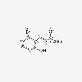 CC(C)(C)[S+]([O-])N=Cc1c(O)cccc1Br